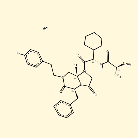 CN[C@@H](C)C(=O)N[C@H](C(=O)N1CC(=O)N2[C@@H]1CN(CCc1ccc(F)cc1)C(=O)[C@@H]2Cc1ccccc1)C1CCCCC1.Cl